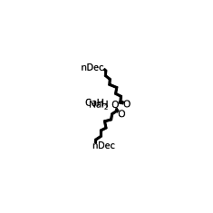 CCCCCCCCCCCCCCCCCC(=O)OC(=O)CCCCCCCCCCCCCCCCC.[CaH2].[NaH]